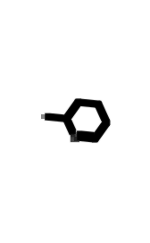 [CH2]C1CCCC=N1